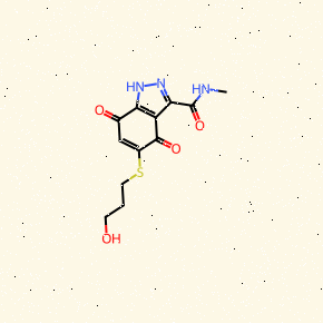 CNC(=O)c1n[nH]c2c1C(=O)C(SCCCO)=CC2=O